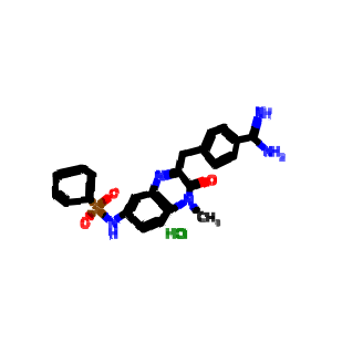 Cl.Cn1c(=O)c(Cc2ccc(C(=N)N)cc2)nc2cc(NS(=O)(=O)c3ccccc3)ccc21